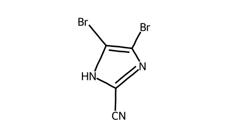 N#Cc1nc(Br)c(Br)[nH]1